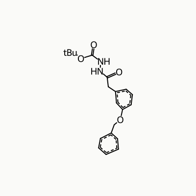 CC(C)(C)OC(=O)NNC(=O)Cc1cccc(OCc2ccccc2)c1